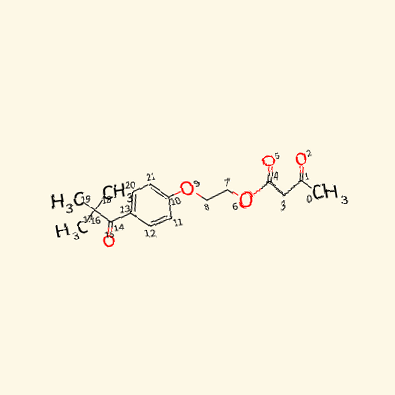 CC(=O)CC(=O)OCCOc1ccc(C(=O)C(C)(C)C)cc1